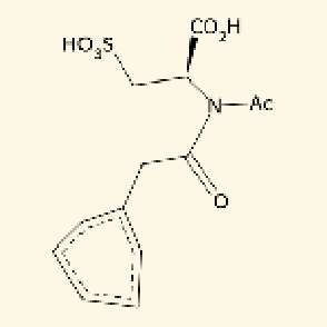 CC(=O)N(C(=O)Cc1ccccc1)[C@@H](CS(=O)(=O)O)C(=O)O